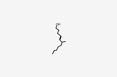 CCCCCC(C)C=CCCCO